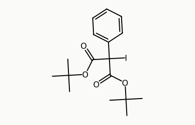 CC(C)(C)OC(=O)C(I)(C(=O)OC(C)(C)C)c1ccccc1